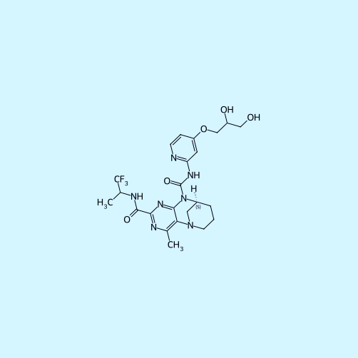 Cc1nc(C(=O)NC(C)C(F)(F)F)nc2c1N1CCC[C@@H](C1)N2C(=O)Nc1cc(OCC(O)CO)ccn1